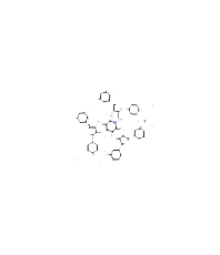 N=c1c(=N)/c(=N\c2cc(-c3cc(C(F)(F)F)cc(C(F)(F)F)c3)sc2-c2cc(C(F)(F)F)cc(C(F)(F)F)c2)c2nc3c(-c4cc(C(F)(F)F)cc(C(F)(F)F)c4)sc(-c4cc(C(F)(F)F)cc(C(F)(F)F)c4)c3nc2/c1=N/c1cc(-c2cc(C(F)(F)F)cc(C(F)(F)F)c2)sc1-c1cc(C(F)(F)F)cc(C(F)(F)F)c1